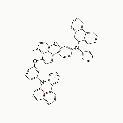 Cc1ccc2c3c(ccc(Oc4cccc(N(c5ccccc5)c5ccccc5-c5ccccc5)c4)c13)-c1ccc(N(c3ccccc3)c3cc4ccccc4c4ccccc34)cc1O2